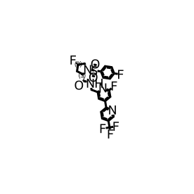 O=C(NCc1cc(-c2ccc(C(F)(F)F)cn2)cc(F)n1)[C@@H]1C[C@@H](F)CN1S(=O)(=O)c1ccc(F)cc1